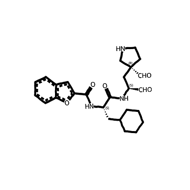 O=C[C@H](C[C@]1(C=O)CCNC1)NC(=O)[C@H](CC1CCCCC1)NC(=O)c1cc2ccccc2o1